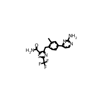 Cc1cc(-c2ccnc(N)n2)ccc1Cc1nc(C(F)(F)F)sc1C(N)=O